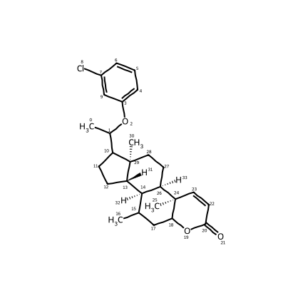 CC(Oc1cccc(Cl)c1)C1CC[C@H]2[C@@H]3C(C)CC4OC(=O)C=C[C@]4(C)[C@@H]3CC[C@]12C